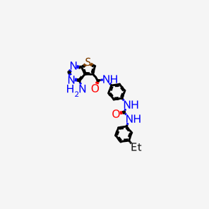 CCc1cccc(NC(=O)Nc2ccc(NC(=O)c3csc4ncnc(N)c34)cc2)c1